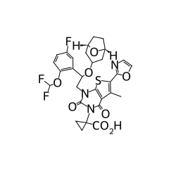 Cc1c(-c2ncco2)sc2c1c(=O)n(C1(C(=O)O)CC1)c(=O)n2CC(OC1C[C@H]2CC[C@@H](C1)O2)c1cc(F)ccc1OC(F)F